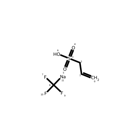 C=CCS(=O)(=O)O.F[C](F)(F)[Na]